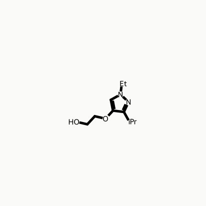 CCn1cc(OCCO)c(C(C)C)n1